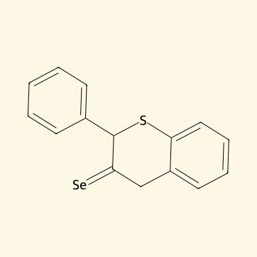 [Se]=C1Cc2ccccc2SC1c1ccccc1